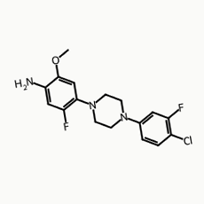 COc1cc(N2CCN(c3ccc(Cl)c(F)c3)CC2)c(F)cc1N